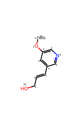 CCCCOc1cncc(/C=C/CO)c1